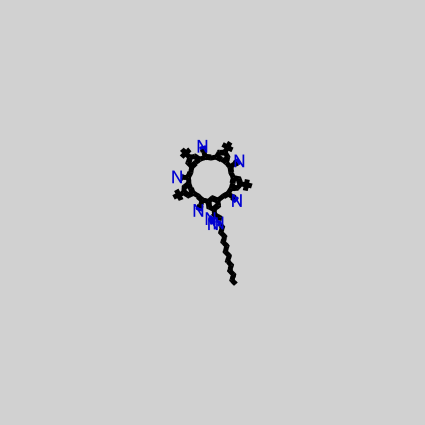 CCCCCCCCCCCCCn1cc(-c2cc3cc(c2)/C(C#N)=C/c2cc(cc(C(C)(C)C)c2)/C(C#N)=C/c2cc(cc(C(C)(C)C)c2)/C(C#N)=C/c2cc(cc(C(C)(C)C)c2)/C(C#N)=C/c2cc(cc(C(C)(C)C)c2)/C(C#N)=C/3)nn1